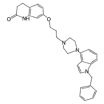 O=C1CCc2ccc(OCCCN3CCN(c4cccc5c4ccn5Cc4ccccc4)CC3)cc2N1